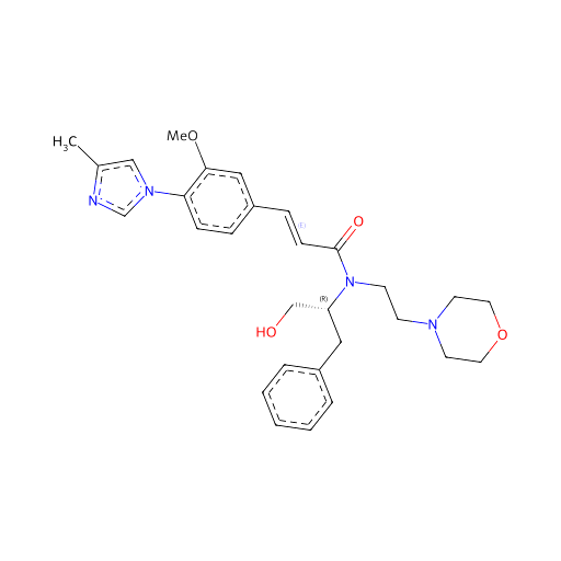 COc1cc(/C=C/C(=O)N(CCN2CCOCC2)[C@@H](CO)Cc2ccccc2)ccc1-n1cnc(C)c1